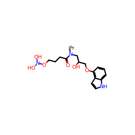 CC(C)N(CC(O)COc1cccc2[nH]ccc12)C(=O)CCCON(O)O